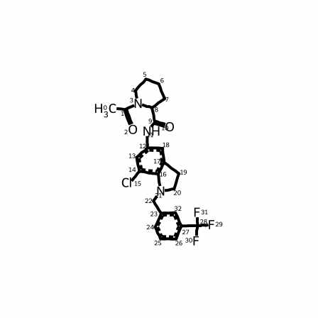 CC(=O)N1CCCCC1C(=O)Nc1cc(Cl)c2c(c1)CCN2Cc1cccc(C(F)(F)F)c1